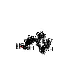 C=CCNC(=O)n1nc(-c2cc(NC(=O)C(CC)CC)ccc2O)cc1C1CCCC1.CCC(CC)C(=O)Nc1ccc(O)c(-c2cc(C3CCCC3)n(C(=O)NCc3ccccc3)n2)c1.CCCNC(=O)n1nc(-c2cc(NC(=O)C(CC)CC)ccc2O)cc1C1CCCC1